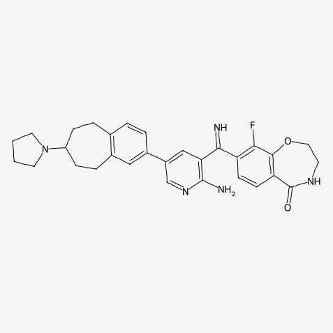 N=C(c1cc(-c2ccc3c(c2)CCC(N2CCCC2)CC3)cnc1N)c1ccc2c(c1F)OCCNC2=O